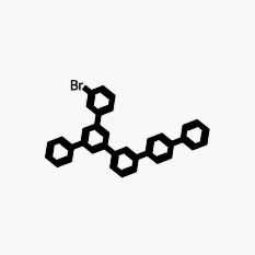 Brc1cccc(-c2cc(-c3ccccc3)cc(-c3cccc(-c4ccc(-c5ccccc5)cc4)c3)c2)c1